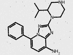 CC(C)C1CNCCN1c1nc2c(N)ccc(-c3ccccc3)n2n1